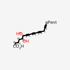 CCCCCC#CCC#CC#CC#C[C@@H](O)[C@@H](O)CCCC(=O)O